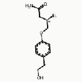 CC[C@@H](COc1ccc([CH]CO)cc1)CC(N)=O